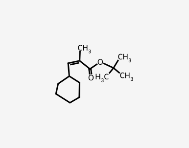 CC(=CC1CCCCC1)C(=O)OC(C)(C)C